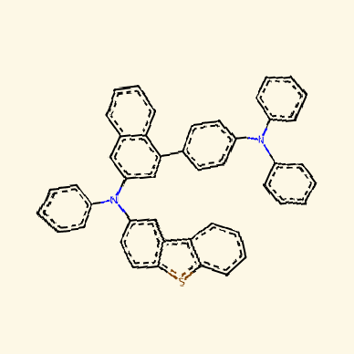 c1ccc(N(c2ccccc2)c2ccc(-c3cc(N(c4ccccc4)c4ccc5sc6ccccc6c5c4)cc4ccccc34)cc2)cc1